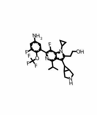 CC(C)c1nc(-c2cc(N)cc(F)c2OC(F)(F)F)c(F)c2c1c(C1C3CNCC31)c(CCO)n2C1CC1